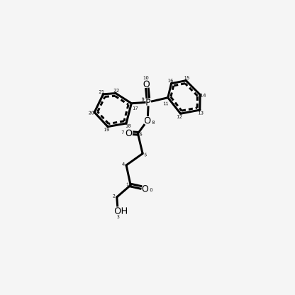 O=C(CO)CCC(=O)OP(=O)(c1ccccc1)c1ccccc1